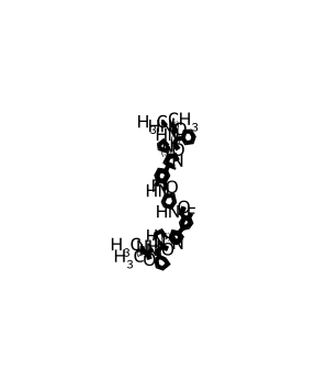 CN[C@@H](C)C(=O)N[C@H](C(=O)N1CCC[C@H]1c1cncc(-c2ccc(F)c(C(=O)N[C@H]3CC[C@H](NC(=O)c4cc(-c5cncc([C@@H]6CCCN6C(=O)[C@@H](NC(=O)[C@H](C)NC)C6CCCCC6)c5)ccc4F)CC3)c2)c1)C1CCCCC1